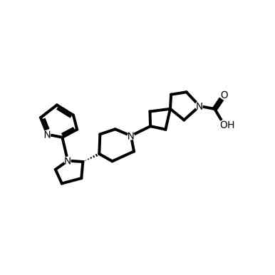 O=C(O)N1CCC2(CC(N3CCC([C@@H]4CCCN4c4ccccn4)CC3)C2)C1